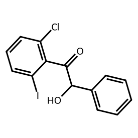 O=C(c1c(Cl)cccc1I)C(O)c1ccccc1